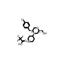 O=C(O)C(F)(F)F.OC[C@H]1CN(C2CCNCC2)[C@@H](Cc2ccc(Cl)cc2)CO1